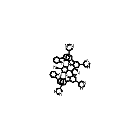 N#Cc1c(-n2c3ccccc3c3ccccc32)c(-n2c3ccc(-c4cncnc4)cc3c3cc(-c4cncnc4)ccc32)c(-c2ccncc2)c(-n2c3ccc(-c4cncnc4)cc3c3cc(-c4cncnc4)ccc32)c1-n1c2ccccc2c2ccccc21